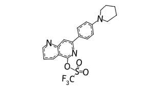 O=S(=O)(Oc1nc(-c2ccc(N3CCCCC3)cc2)cc2ncccc12)C(F)(F)F